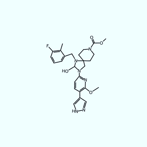 COC(=O)N1CCC2(CC1)CN(c1ccc(-c3cn[nH]c3)c(OC)n1)C(O)N2Cc1cccc(F)c1C